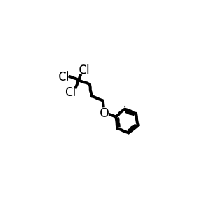 ClC(Cl)(Cl)CCCOc1[c]cccc1